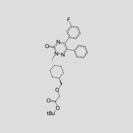 CC(C)(C)OC(=O)COC[C@H]1CC[C@H](Cn2nc(-c3ccccc3)c(-c3cccc(F)c3)nc2=O)CC1